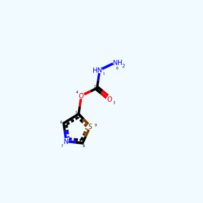 NNC(=O)Oc1cncs1